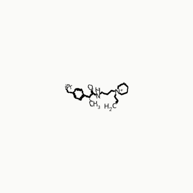 C=CC[N+]1(CCCNC(=O)[C@H](C)c2ccc(CC(C)C)cc2)CCCCC1